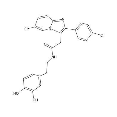 O=C(Cc1c(-c2ccc(Cl)cc2)nc2ccc(Cl)cn12)NCCc1ccc(O)c(O)c1